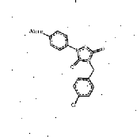 COc1ccc(-n2sc(=O)n(Cc3ccc(Cl)cc3)c2=O)cc1